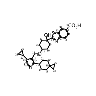 O=C(O)c1ccc2nc(C3(O)CCC(OCc4c(C5CCC6(CC5)CC6)noc4C4CC4)CC3)sc2c1